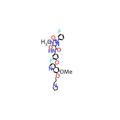 COc1cc2c(Oc3ccc(NC(=O)c4nn(-c5cccc(F)c5)c(=O)n(C)c4=O)cc3F)ccnc2cc1OCCCN1CCCC1